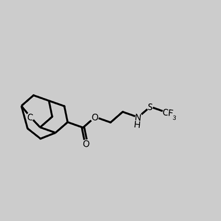 O=C(OCCNSC(F)(F)F)C1CC2CC3CCC1C(C3)C2